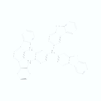 c1ccc2c(c1)oc1cc(N(c3ccc4oc5ccccc5c4c3)c3ccc4c(c3)n3c5ccccc5c5ccc6c7ccccc7n4c6c53)ccc12